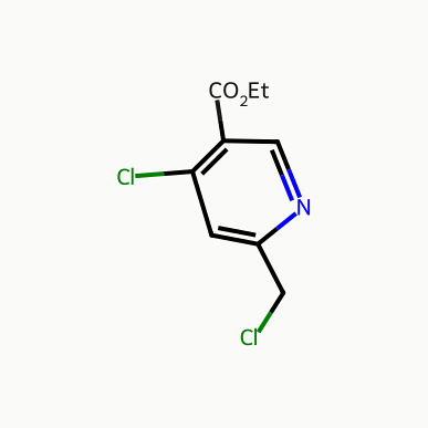 CCOC(=O)c1cnc(CCl)cc1Cl